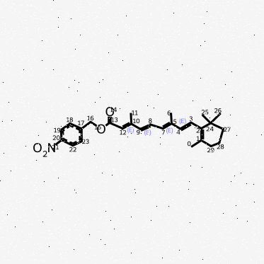 CC1=C(/C=C/C(C)=C/C=C/C(C)=C/C(=O)OCc2ccc([N+](=O)[O-])cc2)C(C)(C)CCC1